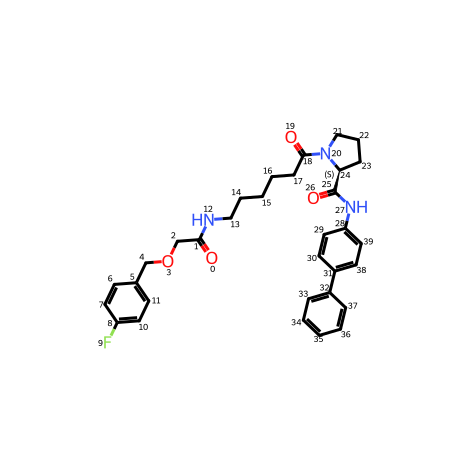 O=C(COCc1ccc(F)cc1)NCCCCCC(=O)N1CCC[C@H]1C(=O)Nc1ccc(-c2ccccc2)cc1